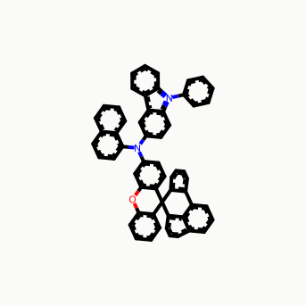 c1ccc(-n2c3ccccc3c3cc(N(c4ccc5c(c4)Oc4ccccc4C54c5ccccc5-c5cccc6cccc4c56)c4cccc5ccccc45)ccc32)cc1